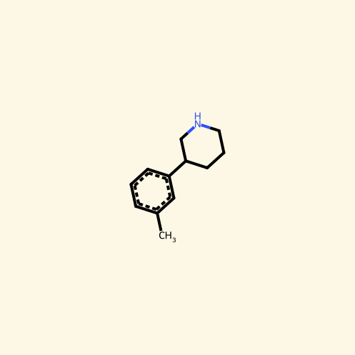 Cc1cccc(C2CCCNC2)c1